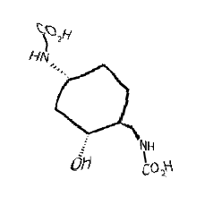 O=C(O)N[C@@H]1CC[C@@H](NC(=O)O)[C@H](O)C1